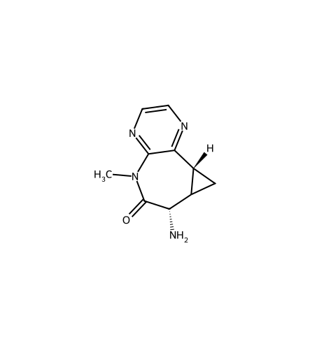 CN1C(=O)[C@@H](N)C2C[C@H]2c2nccnc21